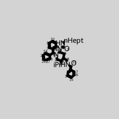 CCCCCCCNC(=O)NC1CC(CNC(=O)c2ccccc2)C(C(C)C)CN1C(c1ccccc1)c1ccccc1